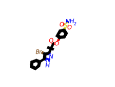 CC(C)(C(=O)Oc1ccc(S(N)(=O)=O)cc1)c1n[nH]c(-c2ccccc2)c1Br